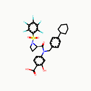 O=C(O)c1ccc(N(Cc2ccc(C3CCCCC3)cc2)C(=O)[C@H]2CCN2S(=O)(=O)c2c(F)c(F)c(F)c(F)c2F)cc1O